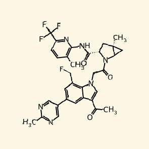 CC(=O)c1cn(CC(=O)N2C3C[C@]3(C)C[C@H]2C(=O)Nc2nc(C(F)(F)F)ccc2C)c2c(CF)cc(-c3cnc(C)nc3)cc12